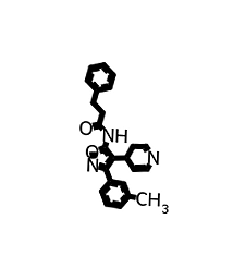 Cc1cccc(-c2noc(NC(=O)CCc3ccccc3)c2C2C=CN=CC2)c1